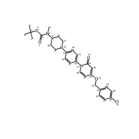 CN(C(=O)OC(C)(C)C)C1CCN(c2ccc(-n3ccc(OCc4ccc(Cl)cn4)cc3=O)cn2)CC1